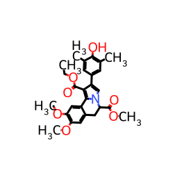 CCOC(=O)c1c(-c2cc(C)c(O)c(C)c2)cn2c1-c1cc(OC)c(OC)cc1CC2C(=O)OC